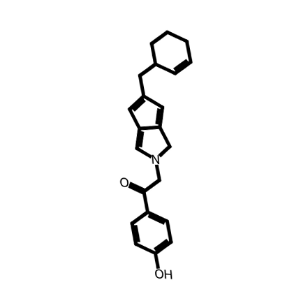 O=C(CN1C=C2C=C(CC3C=CCCC3)C=C2C1)c1ccc(O)cc1